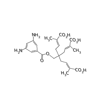 CC(=CCC(CC=C(C)C(=O)O)(CC=C(C)C(=O)O)COC(=O)c1cc(N)cc(N)c1)C(=O)O